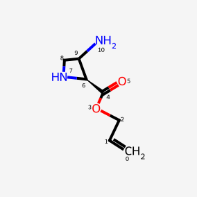 C=CCOC(=O)[C@H]1NCC1N